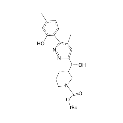 Cc1ccc(-c2nnc([C@H](O)[C@H]3CCCN(C(=O)OC(C)(C)C)C3)cc2C)c(O)c1